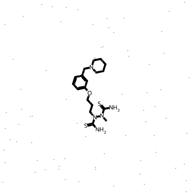 CN(C(N)=S)N(CCCOc1cccc(CN2CCCCC2)c1)C(N)=S